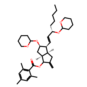 C=C1C[C@@H]2[C@H](/C=C/[C@H](CCCCC)OC3CCCCO3)[C@H](OC3CCCCO3)C[C@@H]2C1OC(=O)c1c(C)cc(C)cc1C